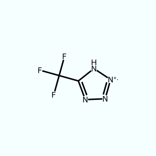 FC(F)(F)C1=NN=[N+]N1